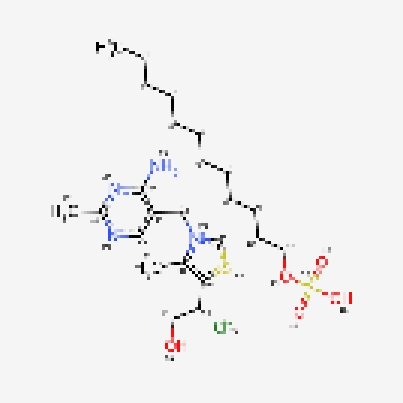 CCCCCCCCCCCCOS(=O)(=O)O.Cc1ncc(C[n+]2csc(CCO)c2C)c(N)n1.[Cl-]